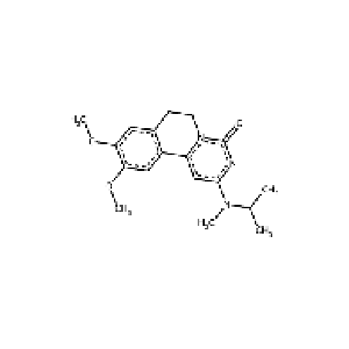 COc1cc2c(cc1OC)-c1cc(N(C)C(C)C)nc(=O)n1CC2